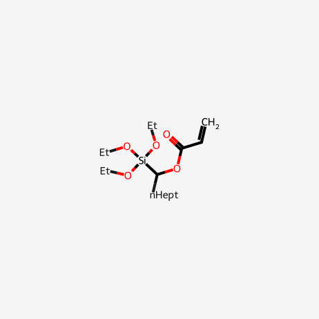 C=CC(=O)OC(CCCCCCC)[Si](OCC)(OCC)OCC